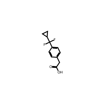 O=C(O)Cc1ccc(C(F)(F)C2CC2)cc1